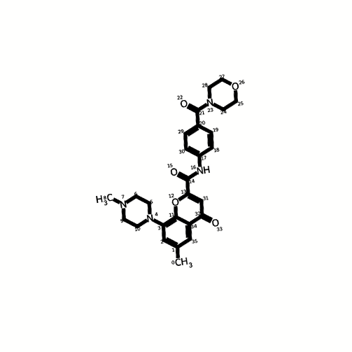 Cc1cc(N2CCN(C)CC2)c2oc(C(=O)Nc3ccc(C(=O)N4CCOCC4)cc3)cc(=O)c2c1